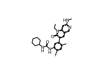 CCn1c(=O)c(-c2cc(NC(=O)NC3CCCCC3)c(F)cc2C)cc2cnc(NC)cc21